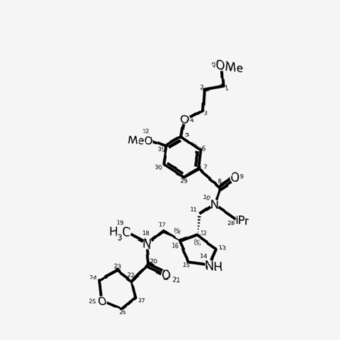 COCCCOc1cc(C(=O)N(C[C@@H]2CNC[C@H]2CN(C)C(=O)C2CCOCC2)C(C)C)ccc1OC